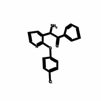 NC(C(=O)c1ccccc1)c1cccnc1Oc1ccc(Cl)cc1